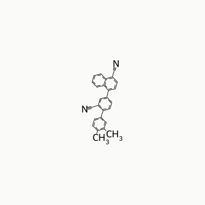 Cc1ccc(-c2ccc(-c3ccc(C#N)c4ccccc34)cc2C#N)cc1C